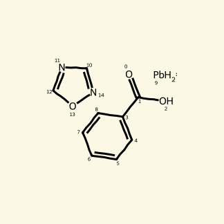 O=C(O)c1ccccc1.[PbH2].c1ncon1